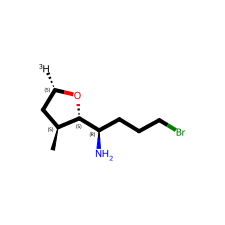 [3H][C@H]1C[C@H](C)[C@@H]([C@H](N)CCCBr)O1